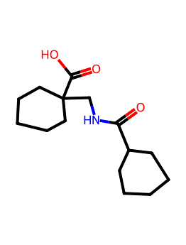 O=C(NCC1(C(=O)O)CCCCC1)C1CCCCC1